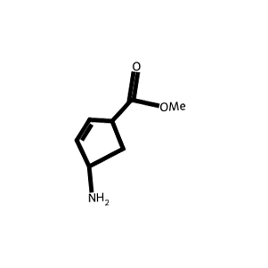 COC(=O)C1C=CC(N)C1